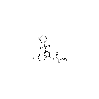 CNC(=O)Oc1cn(S(=O)(=O)c2cccnc2)c2cc(Br)ccc12